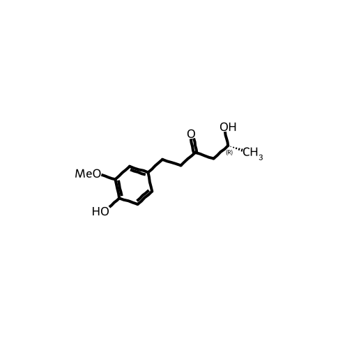 COc1cc(CCC(=O)C[C@@H](C)O)ccc1O